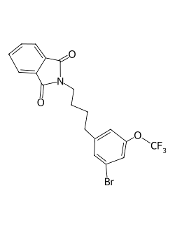 O=C1c2ccccc2C(=O)N1CCCCc1cc(Br)cc(OC(F)(F)F)c1